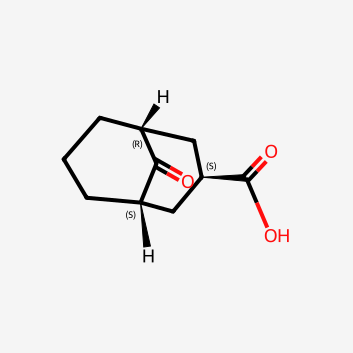 O=C(O)[C@@H]1C[C@H]2CCC[C@@H](C1)C2=O